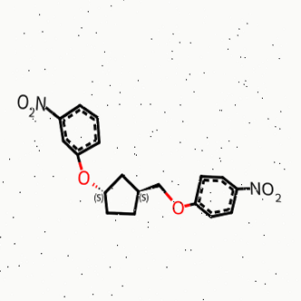 O=[N+]([O-])c1ccc(OC[C@H]2CC[C@H](Oc3cccc([N+](=O)[O-])c3)C2)cc1